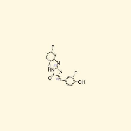 O=C1N/C(=N\c2cc(F)ccc2Cl)S/C1=C\c1ccc(O)c(F)c1